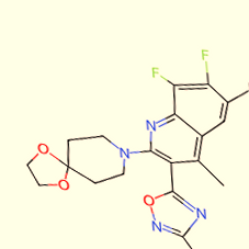 CCc1cc2c(C)c(-c3nc(C)no3)c(N3CCC4(CC3)OCCO4)nc2c(F)c1F